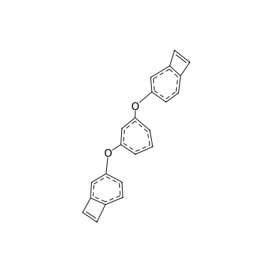 C1=Cc2cc(Oc3cccc(Oc4ccc5c(c4)C=C5)c3)ccc21